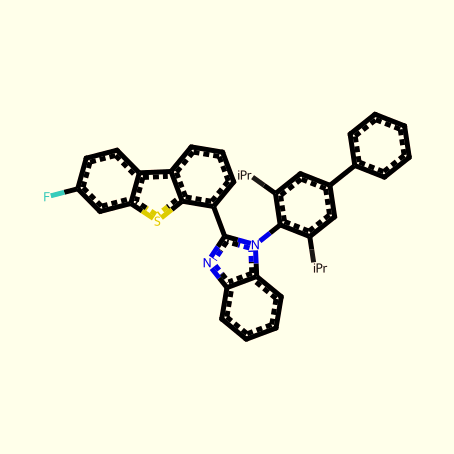 CC(C)c1cc(-c2ccccc2)cc(C(C)C)c1-n1c(-c2cccc3c2sc2cc(F)ccc23)nc2ccccc21